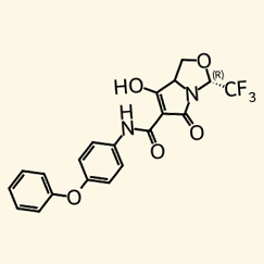 O=C(Nc1ccc(Oc2ccccc2)cc1)C1=C(O)C2CO[C@H](C(F)(F)F)N2C1=O